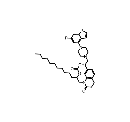 CCCCCCCCCCCC(CN1C(=O)CCc2ccc(CCN3CCN(c4cc(F)cc5sccc45)CC3)cc21)OC(=O)O